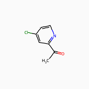 CC(=O)c1cc(Cl)[c]cn1